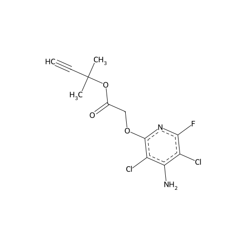 C#CC(C)(C)OC(=O)COc1nc(F)c(Cl)c(N)c1Cl